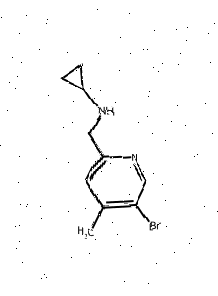 Cc1cc(CNC2CC2)ncc1Br